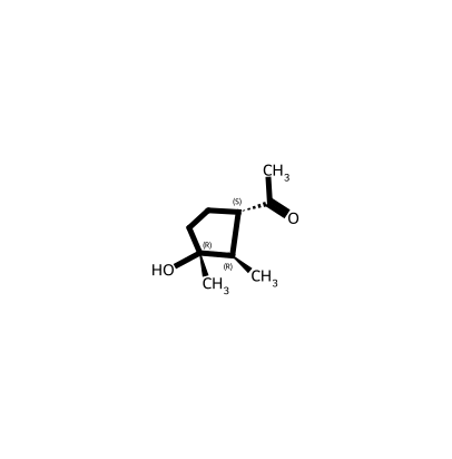 CC(=O)[C@H]1CC[C@@](C)(O)[C@@H]1C